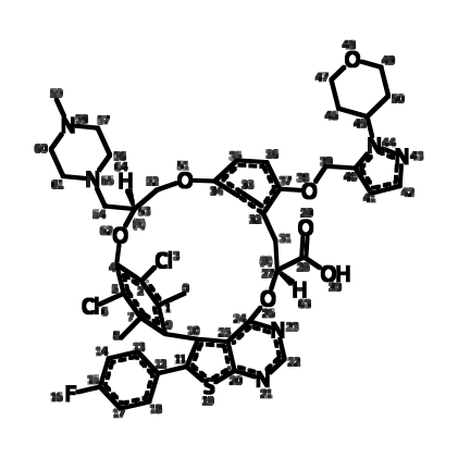 Cc1c(Cl)c2c(Cl)c(C)c1-c1c(-c3ccc(F)cc3)sc3ncnc(c13)O[C@@H](C(=O)O)Cc1cc(ccc1OCc1ccnn1C1CCOCC1)OC[C@@H](CN1CCN(C)CC1)O2